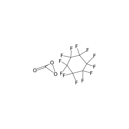 FC1(F)C(F)(F)C(F)(F)C(F)(F)C(F)(F)C1(F)F.O=C1OO1